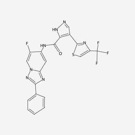 O=C(Nc1cc2nc(-c3ccccc3)nn2cc1F)c1[nH]ncc1-c1nc(C(F)(F)F)cs1